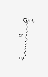 CCCCCCCCCCCCCCCCCC[N+]1(C)C=CC=C1.[Cl-]